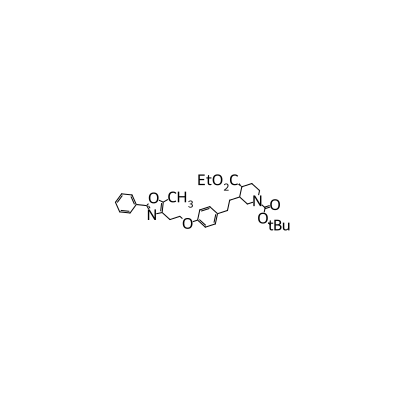 CCOC(=O)[C@H]1CCN(C(=O)OC(C)(C)C)CC1CCc1ccc(OCCc2nc(-c3ccccc3)oc2C)cc1